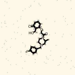 CC1CN(Cc2ccc(F)cc2)CCN1C(=O)COc1cccc(Cl)c1CO